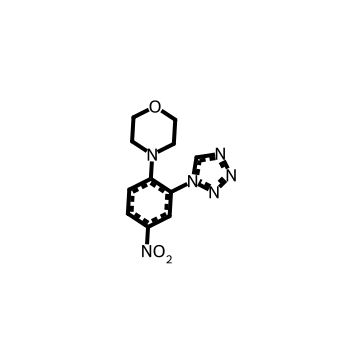 O=[N+]([O-])c1ccc(N2CCOCC2)c(-n2cnnn2)c1